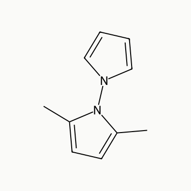 Cc1ccc(C)n1-n1cccc1